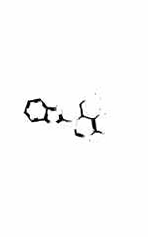 N#CCC1C([N+](=O)[O-])=C(Cl)N=CN1c1nc2ccccc2s1